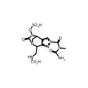 CN(C(N)=O)C(=O)n1cc2c(n1)C(CNC(=O)O)N1CC2N(OS(=O)(=O)O)C1=O